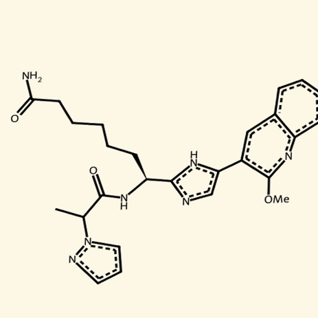 COc1nc2ccccc2cc1-c1cnc([C@H](CCCCCC(N)=O)NC(=O)C(C)n2cccn2)[nH]1